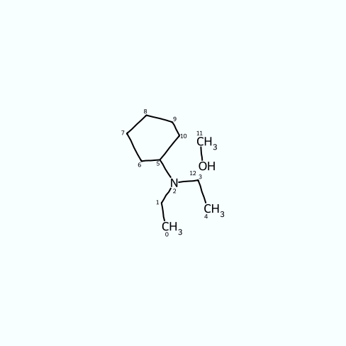 CCN(CC)C1CCCCC1.CO